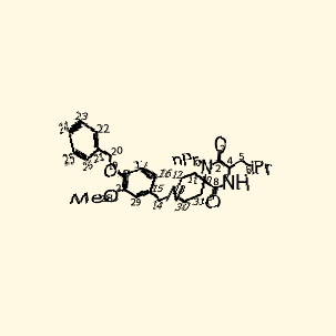 CCCN1C(=O)C(CC(C)C)NC(=O)C12CCN(Cc1ccc(OCc3ccccc3)c(OC)c1)CC2